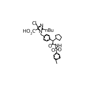 CCCCc1nc(Cl)c(C(=O)O)n1Cc1ccc(C(C(=O)NS(=O)(=O)c2ccc(C)cc2)C2CCCC2)cc1